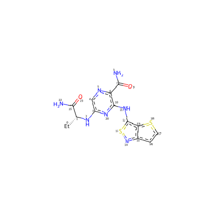 CC[C@@H](Nc1cnc(C(N)=O)c(Nc2snc3ccsc23)n1)C(N)=O